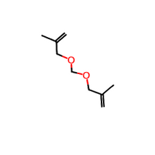 C=C(C)COCOCC(=C)C